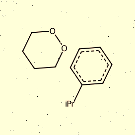 C1CCOOC1.CC(C)c1ccccc1